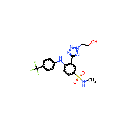 CNS(=O)(=O)c1ccc(Nc2ccc(C(F)(F)F)cc2)c(-c2nnn(CCO)n2)c1